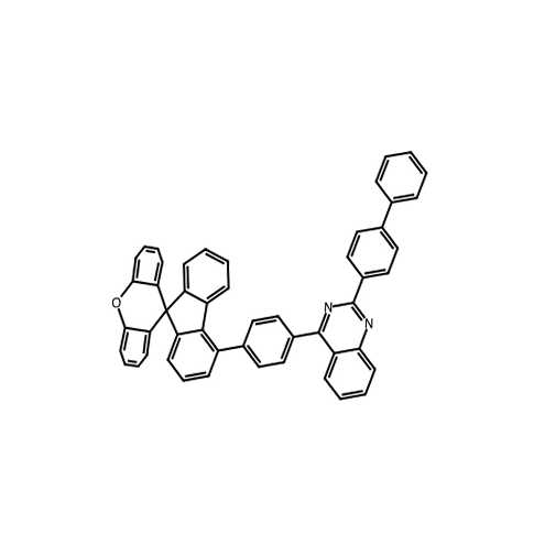 c1ccc(-c2ccc(-c3nc(-c4ccc(-c5cccc6c5-c5ccccc5C65c6ccccc6Oc6ccccc65)cc4)c4ccccc4n3)cc2)cc1